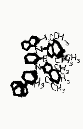 CC1(C)CCC(C)(C)c2cc3c(cc21)B1c2cc4c(cc2N(c2cccc5ccccc25)c2cccc(c21)N3c1ccc(C23CC5CC(CC(C5)C2)C3)cc1)C(C)(C)CCC4(C)C